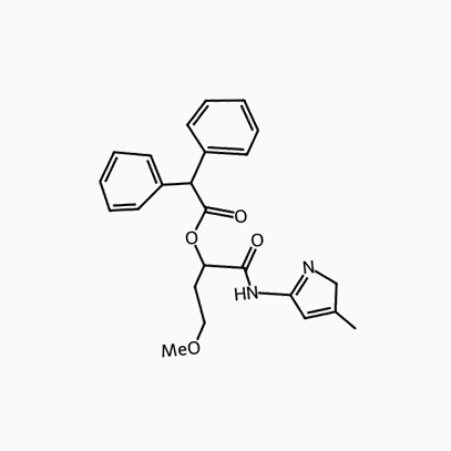 COCCC(OC(=O)C(c1ccccc1)c1ccccc1)C(=O)NC1=NCC(C)=C1